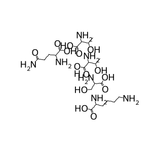 CC(O)C(N)C(=O)O.CC(O)C(N)C(=O)O.NC(=O)CCC(N)C(=O)O.NC(CO)C(=O)O.NCCCCC(N)C(=O)O